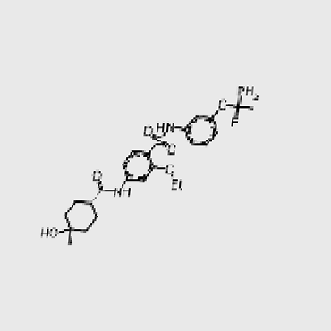 CCOc1cc(NC(=O)[C@H]2CC[C@@](C)(O)CC2)ccc1S(=O)(=O)Nc1cccc(OC(C)(F)P)c1